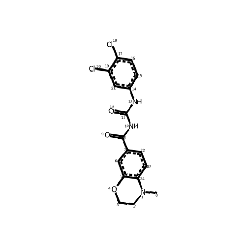 CN1CCOc2cc(C(=O)NC(=O)Nc3ccc(Cl)c(Cl)c3)ccc21